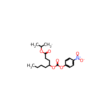 [CH2]C([CH2])OC(=O)CCC(CCCC)OC(=O)Oc1ccc([N+](=O)[O-])cc1